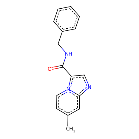 Cc1ccn2c(C(=O)NCc3ccccc3)cnc2c1